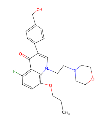 CCCOc1ccc(F)c2c(=O)c(-c3ccc(CO)cc3)cn(CCN3CCOCC3)c12